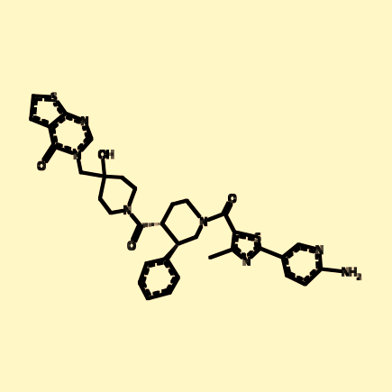 Cc1nc(-c2ccc(N)nc2)sc1C(=O)N1CC[C@@H](C(=O)N2CCC(O)(Cn3cnc4sccc4c3=O)CC2)[C@H](c2ccccc2)C1